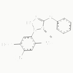 COc1cc([N+](=O)[O-])c(S(=O)(=O)O)cc1N1NN=C(Nc2ccccc2)[N+]1=C=O.[OH-]